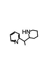 CC(c1ccccn1)C1CCCCN1